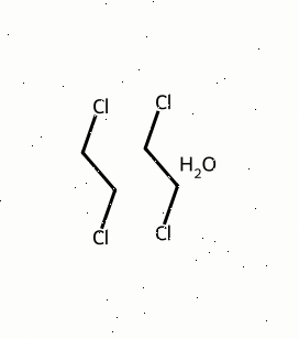 ClCCCl.ClCCCl.O